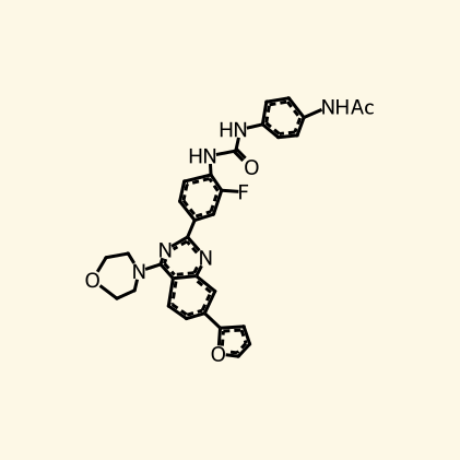 CC(=O)Nc1ccc(NC(=O)Nc2ccc(-c3nc(N4CCOCC4)c4ccc(-c5ccco5)cc4n3)cc2F)cc1